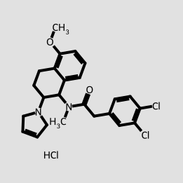 COc1cccc2c1CCC(N1CC=CC1)C2N(C)C(=O)Cc1ccc(Cl)c(Cl)c1.Cl